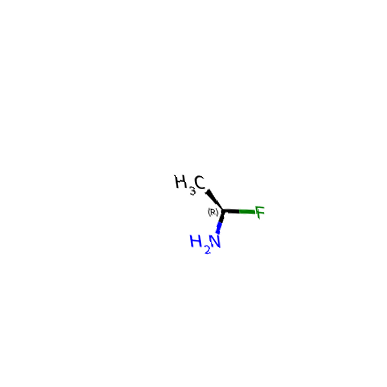 C[C@H](N)F